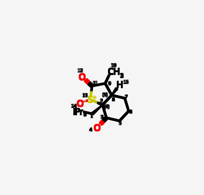 CC(C)C[C@]12C(=O)CCC[C@H]1C(C)C(=O)[S+]2[O-]